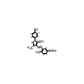 CNc1ccc(S)c(/N=N/c2c(C)nn(-c3ccc(S)cc3)c2O)c1